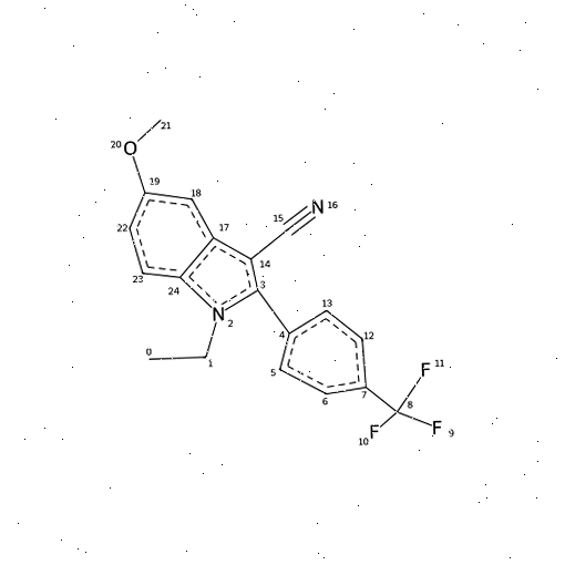 CCn1c(-c2ccc(C(F)(F)F)cc2)c(C#N)c2cc(OC)ccc21